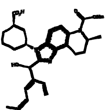 C=C/C(=C\C=C/C)C(O)c1nc2c3c(ccc2n1[C@@H]1CCC[C@@H](C(=O)O)C1)N(C(=O)OC)[C@@H](C)CC3